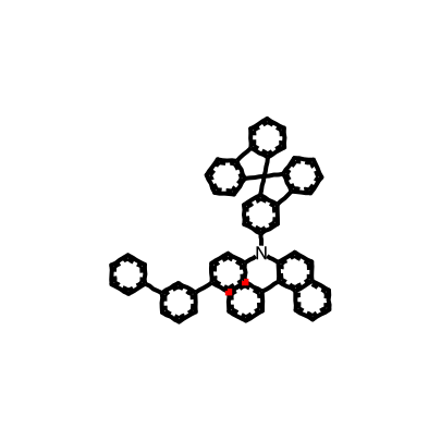 c1ccc(-c2cccc(-c3ccc(N(c4ccc5c(c4)-c4ccccc4C54c5ccccc5-c5ccccc54)c4ccc5ccccc5c4-c4ccccc4)cc3)c2)cc1